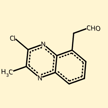 Cc1nc2cccc(CC=O)c2nc1Cl